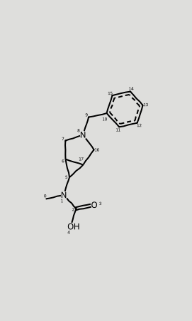 CN(C(=O)O)C1C2CN(Cc3ccccc3)CC21